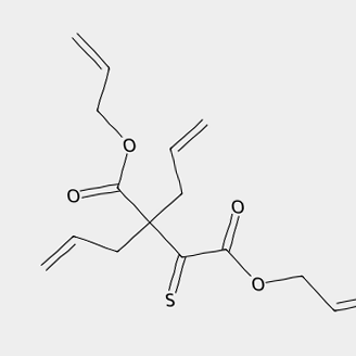 C=CCOC(=O)C(=S)C(CC=C)(CC=C)C(=O)OCC=C